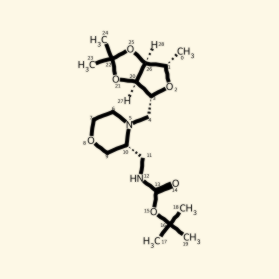 C[C@@H]1O[C@H](CN2CCOC[C@H]2CNC(=O)OC(C)(C)C)[C@H]2OC(C)(C)O[C@H]21